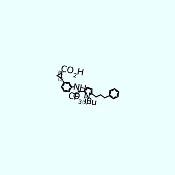 CC[C@H](C)n1c(CCCc2ccccc2)ccc1C(=O)Nc1cc([C@H]2C[C@H]2C(=O)O)ccc1C(F)(F)F